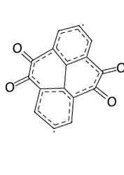 O=c1c(=O)c2c[c]cc3c2-c2c1c[c]cc2c(=O)c3=O